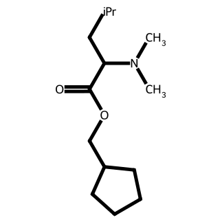 CC(C)CC(C(=O)OCC1CCCC1)N(C)C